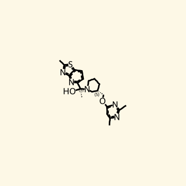 Cc1cc(OC[C@H]2CCCN([C@@](C)(O)c3ccc4sc(C)nc4n3)C2)nc(C)n1